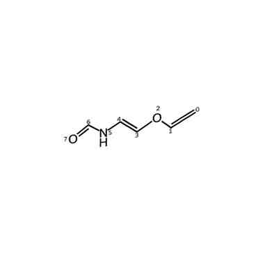 C=COC=CNC=O